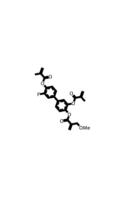 C=C(C)C(=O)Oc1ccc(-c2ccc(OC(=O)C(=C)COC)c(OC(=O)C(=C)C)c2)cc1F